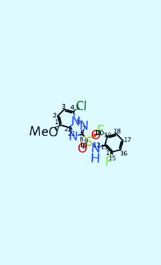 COc1ccc(Cl)n2nc(S(=O)(=O)Nc3c(F)cccc3F)nc12